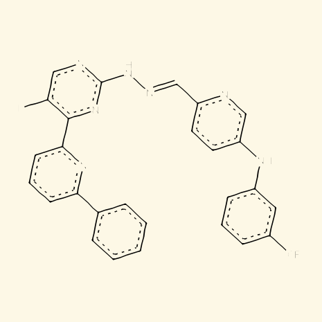 Fc1cnc(N/N=C/c2ccc(Nc3cccc(C(F)(F)F)c3)cn2)nc1-c1cccc(-c2ccccc2)n1